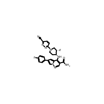 N#Cc1ccc(N2CC[C@@H](Nc3c(C(N)=O)cnn4cc(-c5ccc(F)cc5)cc34)[C@@H](F)C2)nn1